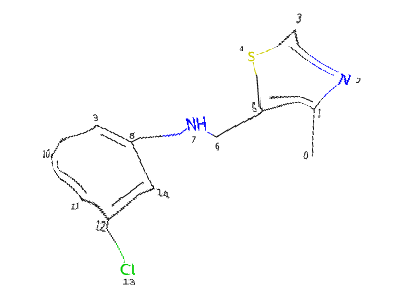 Cc1ncsc1CNc1cccc(Cl)c1